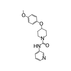 COc1ccc(OC2CCN(C(=O)Nc3cccnc3)CC2)cc1